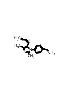 C=C/C=C\c1c(C)nc(C)n1-c1ccc(CC)cc1